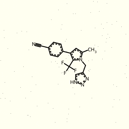 Cc1cc(-c2ccc(C#N)cc2)c(C(F)(F)F)n1Cc1c[nH]nn1